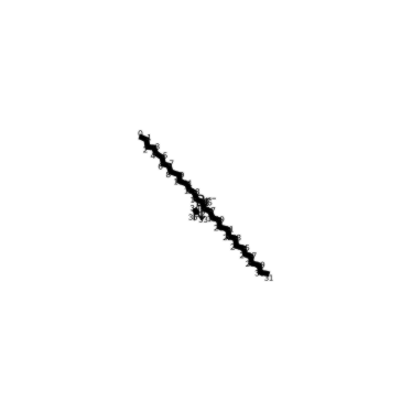 CCCCCCCCCCCCCCCCC(CCCCCCCCCCCCCCC)[N+](C)(C)C.[Br-]